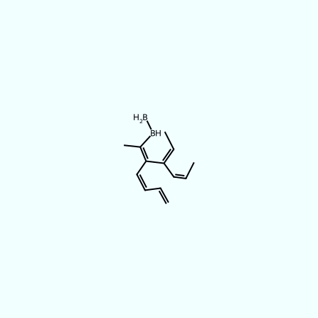 BB/C(C)=C(/C=C\C=C)C(\C=C/C)=C/C